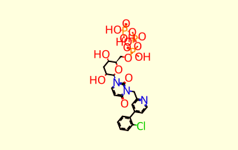 O=c1ccn([C@@H]2O[C@H](COP(=O)(O)OP(=O)(O)OP(=O)(O)O)[C@H](O)CC2O)c(=O)n1Cc1cc(-c2ccccc2Cl)ccn1